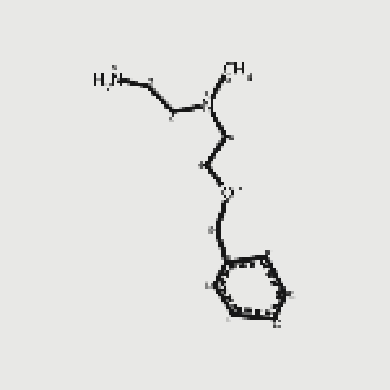 CN(CCN)CCOCc1ccccc1